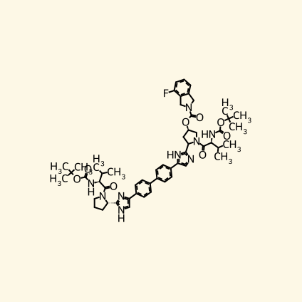 CC(C)[C@H](NC(=O)OC(C)(C)C)C(=O)N1C[C@H](OC(=O)N2Cc3cccc(F)c3C2)CC1c1ncc(-c2ccc(-c3ccc(-c4c[nH]c([C@@H]5CCCN5C(=O)[C@@H](NC(=O)OC(C)(C)C)C(C)C)n4)cc3)cc2)[nH]1